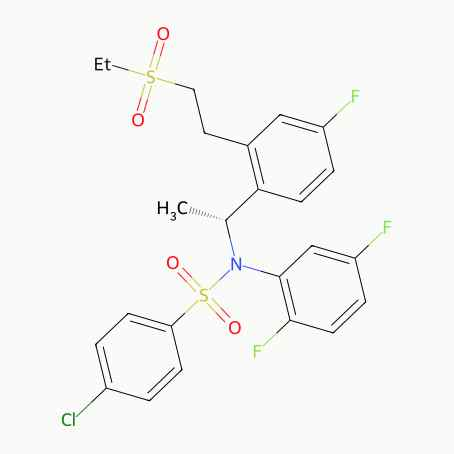 CCS(=O)(=O)CCc1cc(F)ccc1[C@@H](C)N(c1cc(F)ccc1F)S(=O)(=O)c1ccc(Cl)cc1